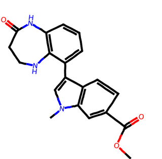 COC(=O)c1ccc2c(-c3cccc4c3NCCC(=O)N4)cn(C)c2c1